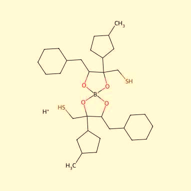 CC1CCC(C2(CS)O[B-]3(OC2CC2CCCCC2)OC(CC2CCCCC2)C(CS)(C2CCC(C)C2)O3)C1.[H+]